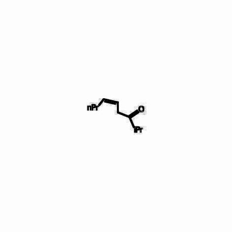 CCC/C=C\CC(=O)C(C)C